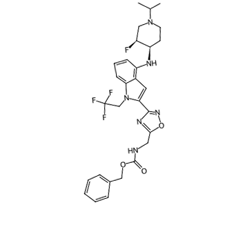 CC(C)N1CC[C@@H](Nc2cccc3c2cc(-c2noc(CNC(=O)OCc4ccccc4)n2)n3CC(F)(F)F)[C@@H](F)C1